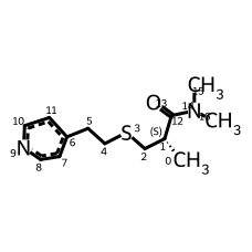 C[C@H](CSCCc1ccncc1)C(=O)N(C)C